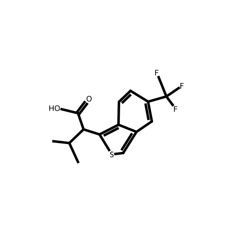 CC(C)C(C(=O)O)c1scc2cc(C(F)(F)F)ccc12